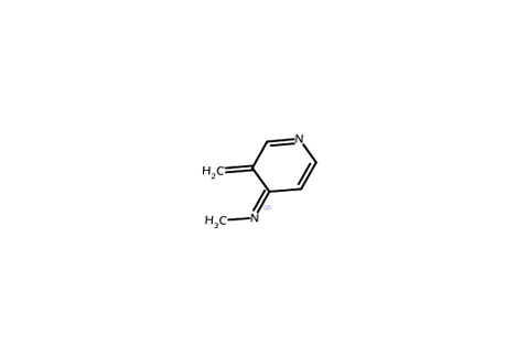 C=C1C=NC=C/C1=N/C